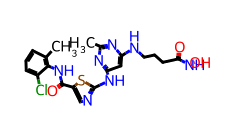 Cc1nc(NCCCC(=O)NO)cc(Nc2ncc(C(=O)Nc3c(C)cccc3Cl)s2)n1